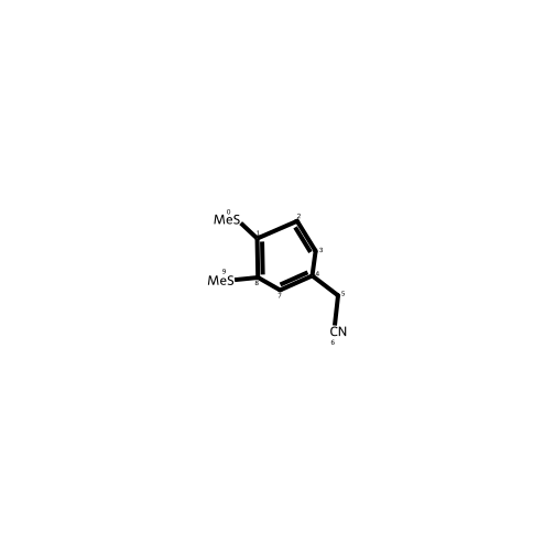 CSc1ccc(CC#N)cc1SC